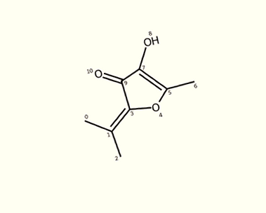 CC(C)=C1OC(C)=C(O)C1=O